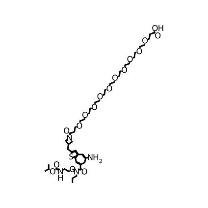 CCCN(OCCNC(=O)OC(C)C)C(=O)C1=Cc2sc(CC3CN(C(=O)CCOCCOCCOCCOCCOCCOCCOCCOCCOCCOCCC(=O)O)C3)cc2C=C(N)C1